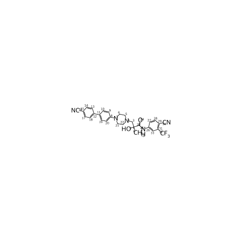 CC(O)(CN1CCN(c2ccc(-c3ccc(C#N)cc3)cc2)CC1)C(=O)Nc1ccc(C#N)c(C(F)(F)F)c1